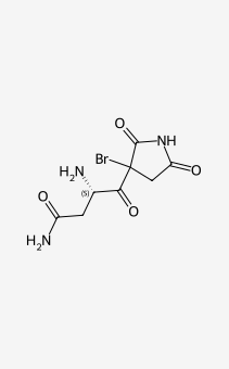 NC(=O)C[C@H](N)C(=O)C1(Br)CC(=O)NC1=O